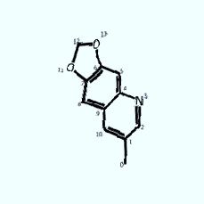 Cc1cnc2cc3c(cc2c1)OCO3